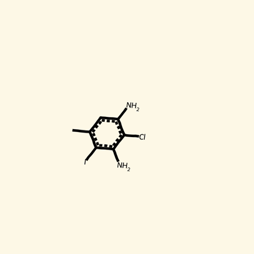 Cc1cc(N)c(Cl)c(N)c1I